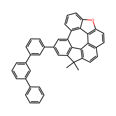 CC1(C)c2cc(-c3cccc(-c4cccc(-c5ccccc5)c4)c3)cc3c2-c2c1ccc1ccc4oc5cccc-3c5c4c21